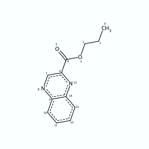 CCCOC(=O)c1cnc2ccccc2n1